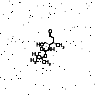 C[C@@H](CC=O)[C@@H](CO)NC(=O)OC(C)(C)C